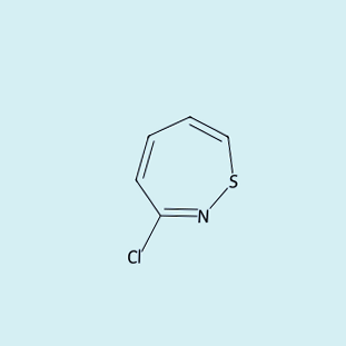 ClC1=NSC=CC=C1